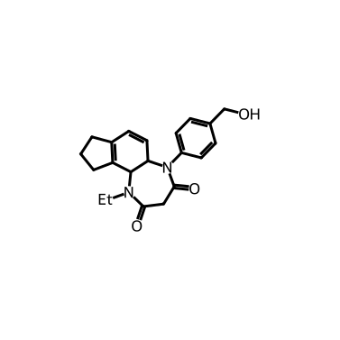 CCN1C(=O)CC(=O)N(c2ccc(CO)cc2)C2C=CC3=C(CCC3)C21